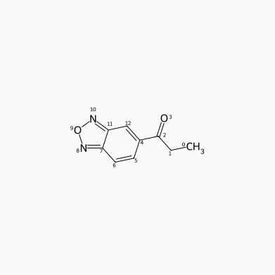 CCC(=O)c1ccc2nonc2c1